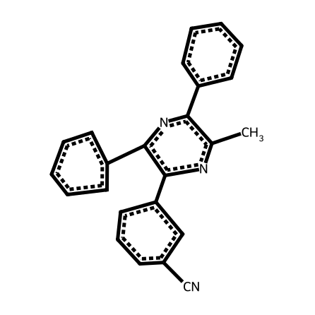 Cc1nc(-c2cccc(C#N)c2)c(-c2ccccc2)nc1-c1ccccc1